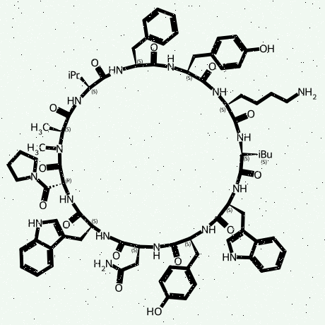 CC[C@H](C)[C@@H]1NC(=O)[C@H](CCCCN)NC(=O)[C@H](Cc2ccc(O)cc2)NC(=O)[C@H](Cc2ccccc2)NC(=O)[C@H](C(C)C)NC(=O)[C@H](C)N(C)C(=O)[C@@H](C(=O)N2CCCC2)NC(=O)[C@H](Cc2c[nH]c3ccccc23)NC(=O)[C@H](CC(N)=O)NC(=O)[C@H](Cc2ccc(O)cc2)NC(=O)[C@H](Cc2c[nH]c3ccccc23)NC1=O